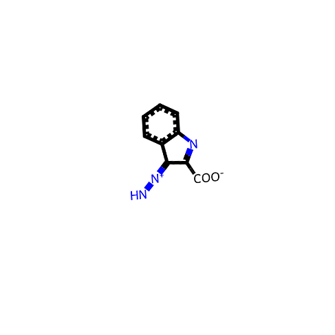 N=[N+]=C1C(C(=O)[O-])=Nc2ccccc21